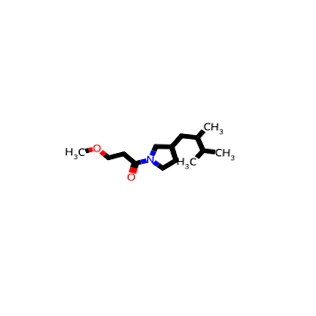 COCCC(=O)N1CCC(CC(C)C(C)C)C1